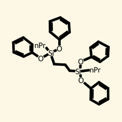 CCC[Si](CCC[Si](CCC)(Oc1ccccc1)Oc1ccccc1)(Oc1ccccc1)Oc1ccccc1